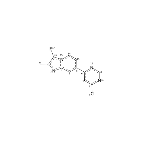 Cc1nc2cc(-c3cc(Cl)ncn3)ccn2c1F